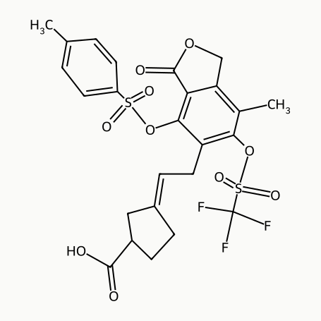 Cc1ccc(S(=O)(=O)Oc2c(C/C=C3\CCC(C(=O)O)C3)c(OS(=O)(=O)C(F)(F)F)c(C)c3c2C(=O)OC3)cc1